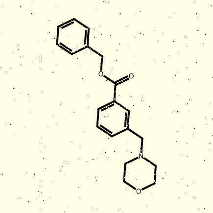 O=C(OCc1ccccc1)c1cccc(CN2CCOCC2)c1